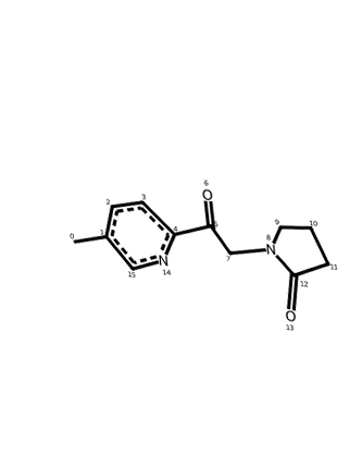 Cc1ccc(C(=O)CN2CCCC2=O)nc1